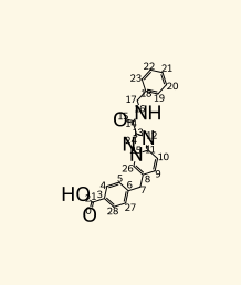 O=C(O)c1ccc(Cc2ccc3nc(C(=O)NCc4ccccc4)nn3c2)cc1